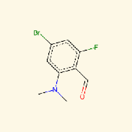 CN(C)c1cc(Br)cc(F)c1C=O